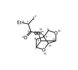 CCC(I)C(=O)OC1C2CC3(C=O)COC1C3O2